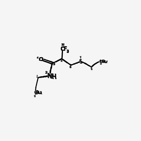 CC(C)(C)CNC(=O)C(CSCC(C)(C)C)C(F)(F)F